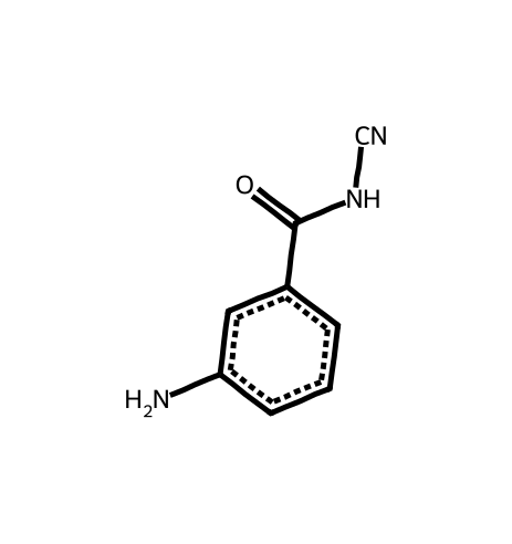 N#CNC(=O)c1cccc(N)c1